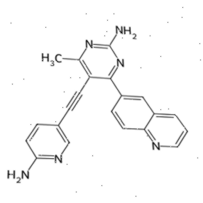 Cc1nc(N)nc(-c2ccc3ncccc3c2)c1C#Cc1ccc(N)nc1